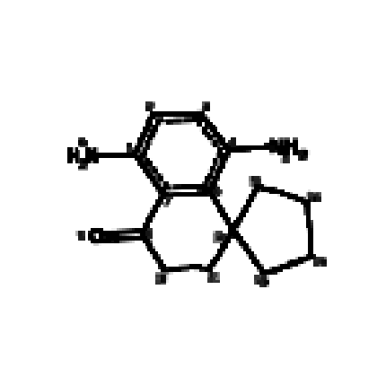 Nc1ccc(N)c2c1C(=O)CCC21CCCC1